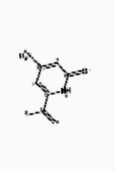 C=C(C)c1cc(N)cc(=O)[nH]1